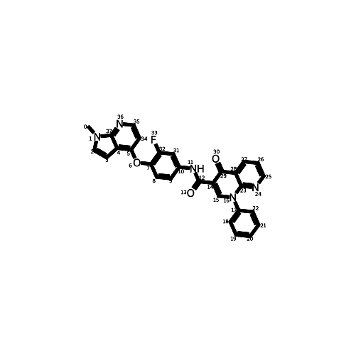 Cn1ccc2c(Oc3ccc(NC(=O)c4cn(-c5ccccc5)c5ncccc5c4=O)cc3F)ccnc21